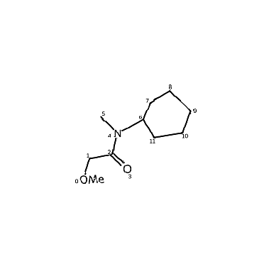 COCC(=O)N(C)C1CC[CH]CC1